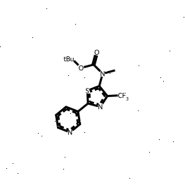 CN(C(=O)OC(C)(C)C)c1sc(-c2cccnc2)nc1C(F)(F)F